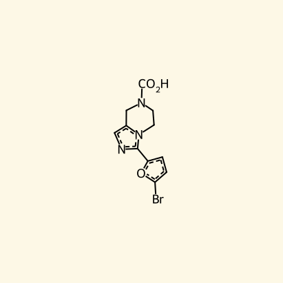 O=C(O)N1CCn2c(cnc2-c2ccc(Br)o2)C1